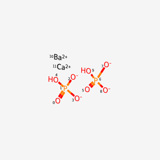 O=P([O-])([O-])O.O=P([O-])([O-])O.[Ba+2].[Ca+2]